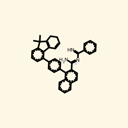 CC1(C)C2=C(C=CCC2)c2c(-c3ccc(-c4c(/C(N)=N/C(=N)c5ccccc5)ccc5ccccc45)cc3)cccc21